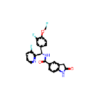 O=C1Cc2cc(C(=O)N[C@@H](c3ccc(OCF)c(F)c3)c3ncccc3F)ccc2N1